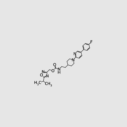 CC(C)c1nc(COC(=O)NCCC2CCN(c3ccc(-c4ccc(F)cc4)cn3)CC2)no1